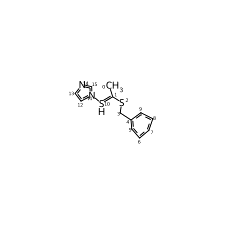 CC(SCc1ccccc1)=[SH]n1ccnc1